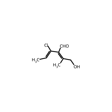 CC=C(Cl)C(C=O)=C(C)CO